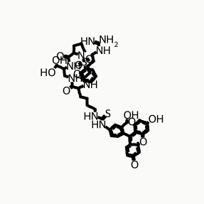 N=C(N)NCCCCC(=O)NC(CCCCNC(=S)Nc1ccc(-c2c3ccc(=O)cc-3oc3cc(O)ccc23)c(C(=O)O)c1)C(=O)NCC(NC(=O)C1CCCN1S(=O)(=O)c1ccccc1)C(O)O